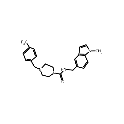 Cn1ccc2cc(CNC(=O)N3CCN(Cc4ccc(C(F)(F)F)cc4)CC3)ccc21